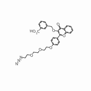 [N-]=[N+]=NCCOCCOCCOc1ccc(-c2oc3ccccc3c(=O)c2OCc2cccc(C(=O)O)c2)cc1